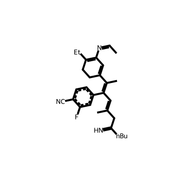 C/C=N\C1=C(CC)CCC(/C(C)=C(/C=C(\C)CC(=N)CCCC)c2ccc(C#N)c(F)c2)=C1